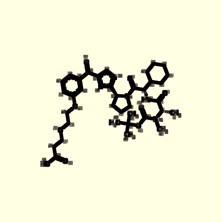 C[C@@H](C(=O)N[C@H](C(=O)N1CCC[C@H]1c1nc(C(=O)c2cccc(OCCOCCC(=O)O)c2)cs1)C1CCCCC1)N(C)C(=O)OC(C)(C)C